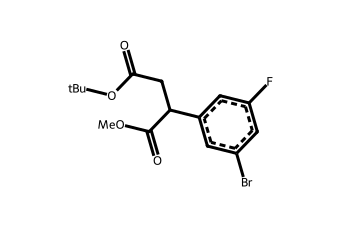 COC(=O)C(CC(=O)OC(C)(C)C)c1cc(F)cc(Br)c1